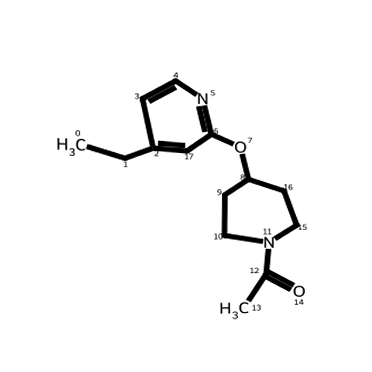 CCc1ccnc(OC2CCN(C(C)=O)CC2)c1